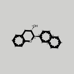 O[C@H]1Cc2ccccc2O[C@@H]1c1ccc2ccccc2c1